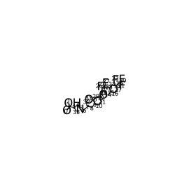 O=C(O)C1CN(CC2=Cc3ccc(OCc4ccc(C(F)(F)F)cc4C(F)(F)F)cc3OC2)C1